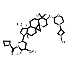 COC(C[C@@H](C)[C@H]1C[C@H](O)[C@@]2(C)C3CC[C@H]4C(C)(C)[C@@H](O[C@H]5CN(C6CN(C(C)C)C6)CCO5)CC[C@@]45CC35CC[C@]12C)[C@H](OC(=O)N1CCC1)C(C)C